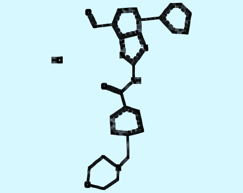 Cl.O=Cc1ccc(-c2ccccc2)c2sc(NC(=O)c3ccc(CN4CCOCC4)cc3)nc12